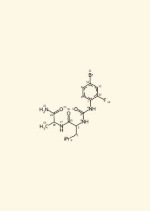 CC(C)CC(NC(=O)Nc1ccc(Br)cc1F)C(=O)NC(C)C(N)=O